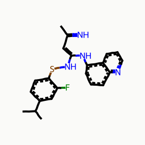 CC(=N)/C=C(/NSc1ccc(C(C)C)cc1F)Nc1cccc2ncccc12